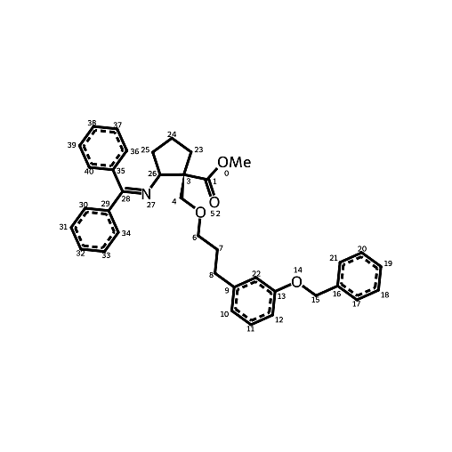 COC(=O)[C@@]1(COCCCc2cccc(OCc3ccccc3)c2)CCCC1N=C(c1ccccc1)c1ccccc1